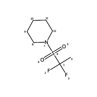 CC(F)(F)S(=O)(=O)N1CCCCC1